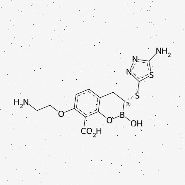 NCCOc1ccc2c(c1C(=O)O)OB(O)[C@@H](Sc1nnc(N)s1)C2